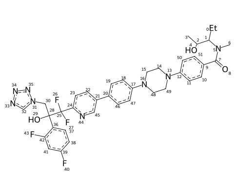 CCC(C(C)O)N(C)C(=O)c1ccc(N2CCN(c3ccc(-c4ccc(C(F)(F)C(O)(Cn5cnnn5)c5ccc(F)cc5F)nc4)cc3)CC2)cc1